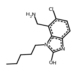 CCCCCn1c(O)nc2ccc(Cl)c(CN)c21